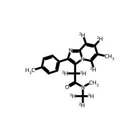 [2H]c1c(C)c([2H])n2c(C([2H])([2H])C(=O)N(C)C([2H])([2H])[2H])c(-c3ccc(C)cc3)nc2c1[2H]